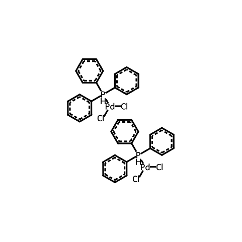 [Cl][Pd]([Cl])[PH](c1ccccc1)(c1ccccc1)c1ccccc1.[Cl][Pd]([Cl])[PH](c1ccccc1)(c1ccccc1)c1ccccc1